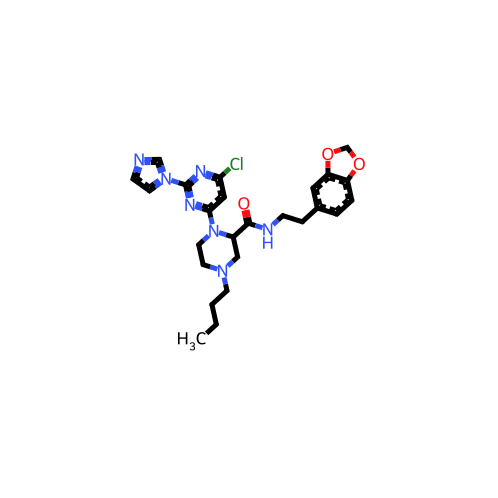 CCCCN1CCN(c2cc(Cl)nc(-n3ccnc3)n2)C(C(=O)NCCc2ccc3c(c2)OCO3)C1